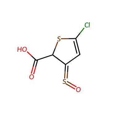 O=S=C1C=C(Cl)SC1C(=O)O